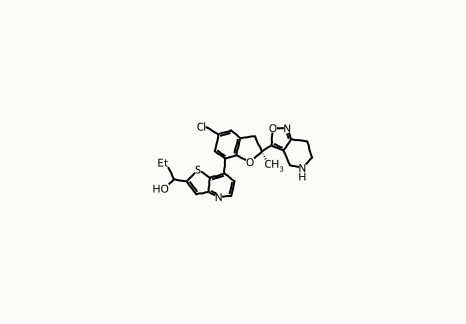 CCC(O)c1cc2nccc(-c3cc(Cl)cc4c3O[C@](C)(c3onc5c3CNCC5)C4)c2s1